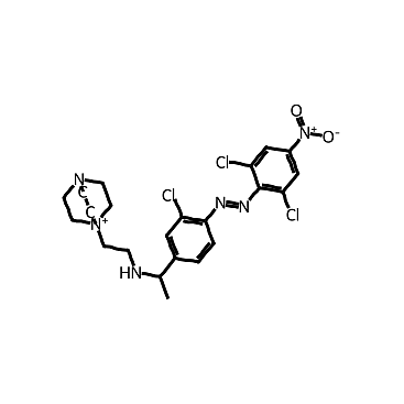 CC(NCC[N+]12CCN(CC1)CC2)c1ccc(N=Nc2c(Cl)cc([N+](=O)[O-])cc2Cl)c(Cl)c1